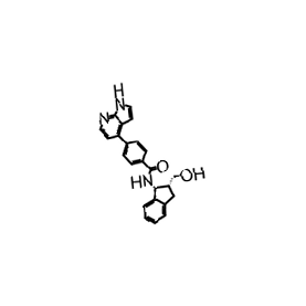 O=C(N[C@H]1c2ccccc2C[C@H]1CO)c1ccc(-c2ccnc3[nH]ccc23)cc1